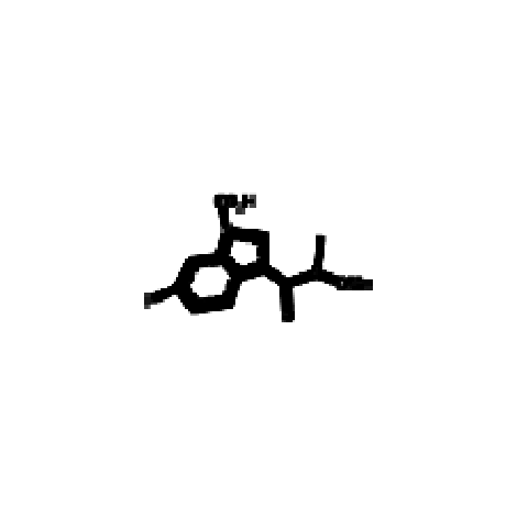 CON(C)C(=O)c1cn(C(=O)O)c2cc(F)ccc12